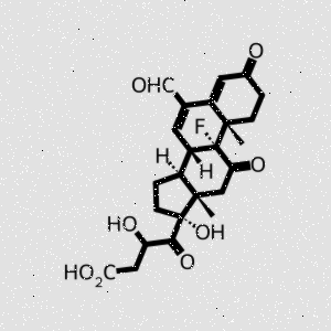 C[C@]12CCC(=O)C=C1C(C=O)=C[C@H]1[C@@H]3CC[C@](O)(C(=O)C(O)CC(=O)O)[C@@]3(C)CC(=O)[C@@]12F